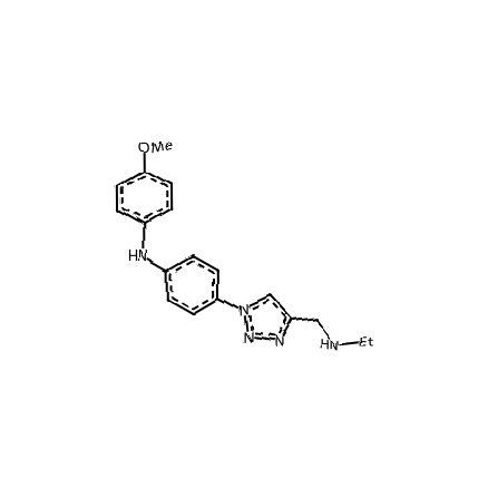 CCNCc1cn(-c2ccc(Nc3ccc(OC)cc3)cc2)nn1